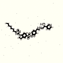 CCCCCCCc1nc(N2CCc3cc(S(=O)(=O)Nc4ccc(CCNCC(O)c5cccnc5)cc4)ccc32)no1